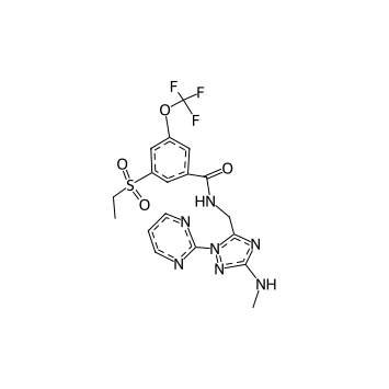 CCS(=O)(=O)c1cc(OC(F)(F)F)cc(C(=O)NCc2nc(NC)nn2-c2ncccn2)c1